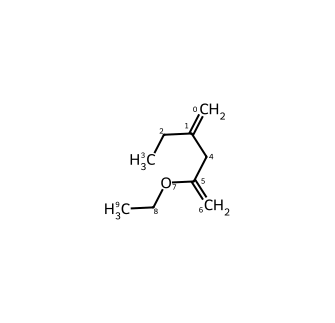 C=C(CC)CC(=C)OCC